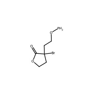 O=C1OCCC1(Br)CCOP